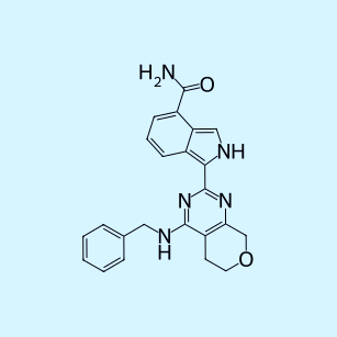 NC(=O)c1cccc2c(-c3nc4c(c(NCc5ccccc5)n3)CCOC4)[nH]cc12